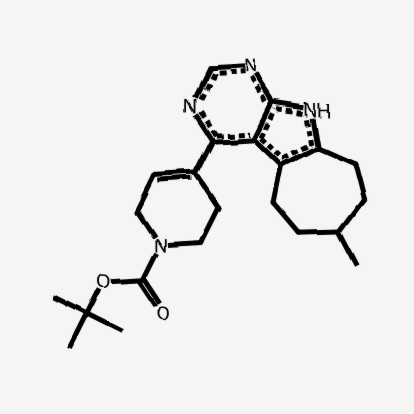 CC1CCc2[nH]c3ncnc(C4=CCN(C(=O)OC(C)(C)C)CC4)c3c2CC1